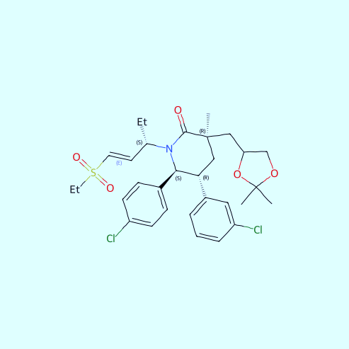 CC[C@@H](/C=C/S(=O)(=O)CC)N1C(=O)[C@@](C)(CC2COC(C)(C)O2)C[C@H](c2cccc(Cl)c2)[C@H]1c1ccc(Cl)cc1